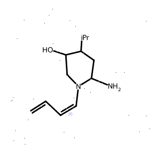 C=C/C=C\N1CC(O)C(C(C)C)CC1N